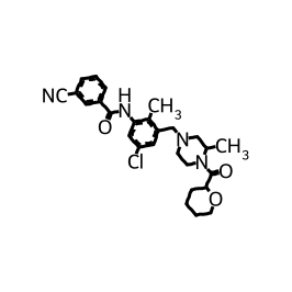 Cc1c(CN2CCN(C(=O)C3CCCCO3)C(C)C2)cc(Cl)cc1NC(=O)c1cccc(C#N)c1